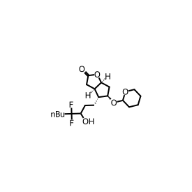 CCCCC(F)(F)C(O)CC[C@@H]1[C@H]2CC(=O)O[C@H]2C[C@H]1OC1CCCCO1